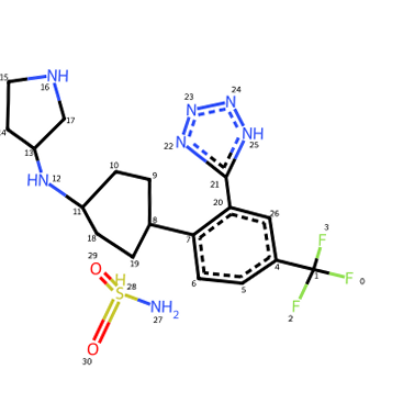 FC(F)(F)c1ccc(C2CCC(NC3CCNC3)CC2)c(-c2nnn[nH]2)c1.N[SH](=O)=O